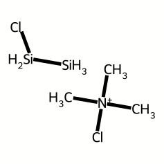 C[N+](C)(C)Cl.[SiH3][SiH2]Cl